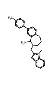 Cn1c(CN2CCOc3ccc(-c4ccc(C(F)(F)F)cc4)cc3C2N)nc2ccccc21